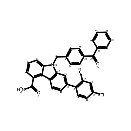 NC(=O)c1cccc2c1c1[c]cc(-c3ccc(Cl)cc3Cl)cc1n2Cc1ccc(C(=O)c2ccccc2)cc1